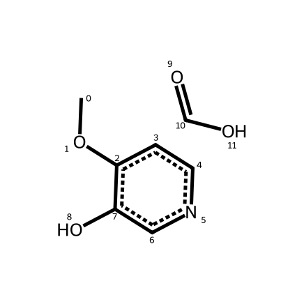 COc1ccncc1O.O=CO